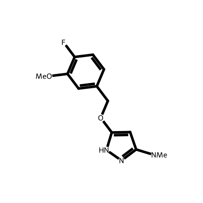 CNc1cc(OCc2ccc(F)c(OC)c2)[nH]n1